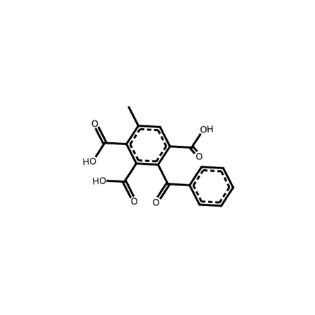 Cc1cc(C(=O)O)c(C(=O)c2ccccc2)c(C(=O)O)c1C(=O)O